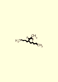 CCCCCC(CCCCC)C(F)=C(C)F